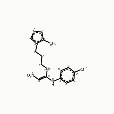 Cc1cncn1CCCNC(=C[N+](=O)[O-])Nc1ccc(Cl)cc1